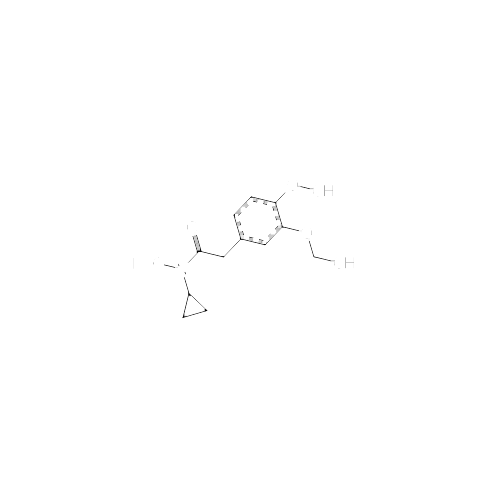 CCOc1cc(CC(=O)N(C)C2CC2)ccc1OC